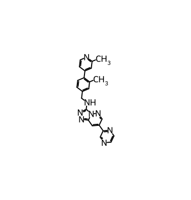 Cc1cc(-c2ccc(CNc3nnc4cc(-c5cnccn5)cnn34)cc2C)ccn1